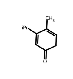 CC1=CCC(=O)C=C1C(C)C